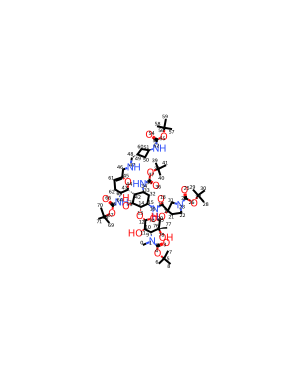 CN(C(=O)OC(C)(C)C)[C@@H]1[C@@H](O)[C@@H](O[C@H]2[C@H](NC(=O)C3(O)CCN(C(=O)OC(C)(C)C)C3)C[C@H](NC(=O)OC(C)(C)C)C([C@H]3OC(CNC[C@H]4C[C@H](NC(=O)OC(C)(C)C)C4)=CC[C@H]3NC(=O)OC(C)(C)C)[C@@H]2O)OC[C@]1(C)O